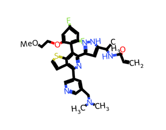 C=CC(=O)NC(C)c1cc(-c2nc(-c3cncc(CN(C)C)c3)c3ccsc3c2-c2c(F)cc(F)cc2OCCOC)n[nH]1